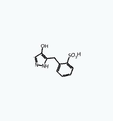 O=S(=O)(O)c1ccccc1Cc1[nH]n[c]c1O